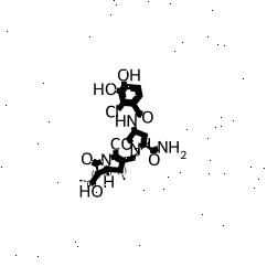 C[C@@H](O)[C@H]1C(=O)N2C(C(=O)O)=C(CN3CC(NC(=O)c4ccc(O)c(O)c4Cl)C[C@H]3C(N)=O)[C@H](C)[C@H]12